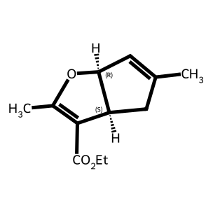 CCOC(=O)C1=C(C)O[C@H]2C=C(C)C[C@@H]12